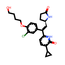 O=C1CC[C@H](/C=C(\c2ccc(OCCCCO)c(Cl)c2)c2ccc(C3CC3)c(=O)[nH]2)N1